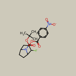 CC(C)(C)OC(=O)N1C2CCC1C(F)C(OC(=O)c1ccc([N+](=O)[O-])cc1)C2